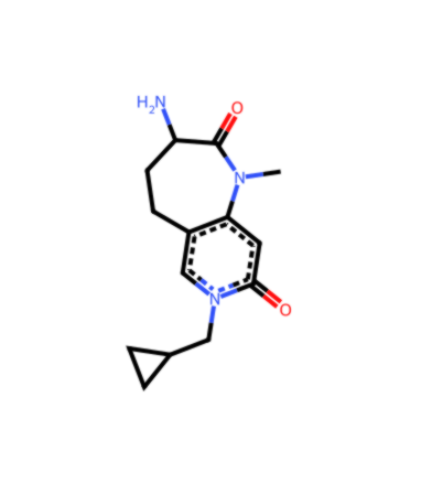 CN1C(=O)C(N)CCc2cn(CC3CC3)c(=O)cc21